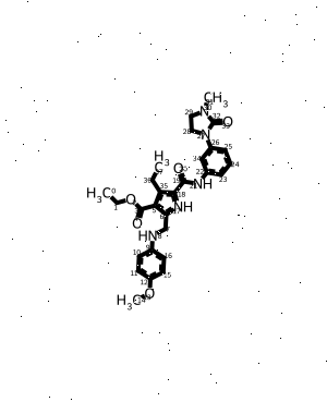 CCOC(=O)c1c(CNc2ccc(OC)cc2)[nH]c(C(=O)Nc2cccc(N3CCN(C)C3=O)c2)c1CC